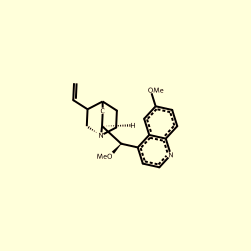 C=CC1C[N@@]2CCC1C[C@H]2[C@H](OC)c1ccnc2ccc(OC)cc12